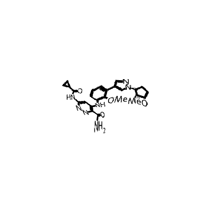 COc1c(Nc2cc(NC(=O)C3CC3)nnc2C(N)=O)cccc1-c1cnn([C@H]2CCC[C@@H]2OC)c1